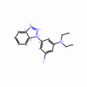 CCN(CC)c1cc(I)cc(-n2nnc3ccccc32)c1